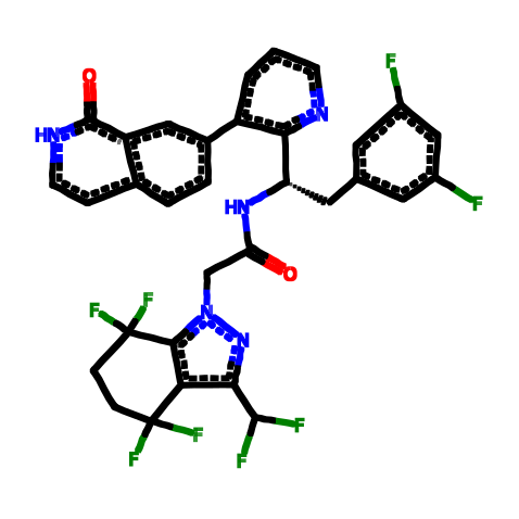 O=C(Cn1nc(C(F)F)c2c1C(F)(F)CCC2(F)F)N[C@@H](Cc1cc(F)cc(F)c1)c1ncccc1-c1ccc2cc[nH]c(=O)c2c1